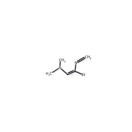 C=N/C(=C\N(C)C)CC